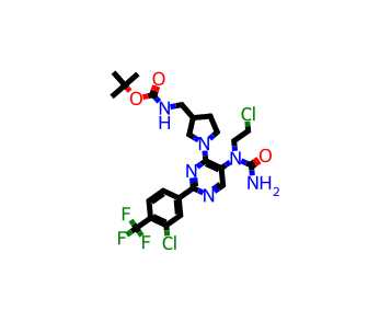 CC(C)(C)OC(=O)NCC1CCN(c2nc(-c3ccc(C(F)(F)F)c(Cl)c3)ncc2N(CCCl)C(N)=O)C1